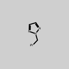 CC(C)Cn1nccn1